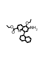 CCOC(=O)c1ccc2c(OCC)c(N)cc(-c3cccc4ccccc34)c2n1